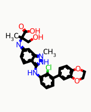 Cn1[nH]c(Nc2cccc(-c3ccc4c(c3)OCCO4)c2Cl)c2ccc(=NC(C)(CO)C(=O)O)cc1-2